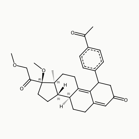 COCC(=O)[C@@]1(OC)CC[C@H]2[C@@H]3CCC4=CC(=O)CC(c5ccc(C(C)=O)cc5)C4=C3CC[C@@]21C